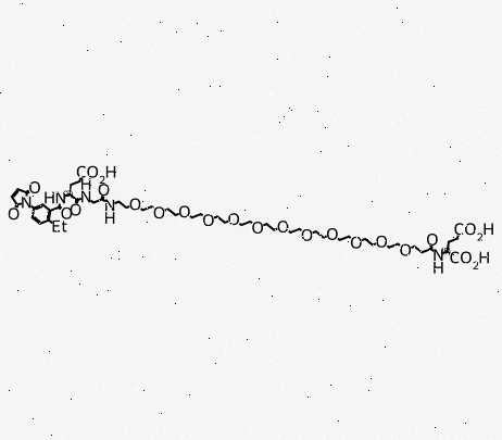 CCc1ccc(N2C(=O)C=CC2=O)cc1C(=O)N[C@@H](CCC(=O)O)C(=O)NCC(=O)NCCOCCOCCOCCOCCOCCOCCOCCOCCOCCOCCOCCOCCC(=O)N[C@@H](CCC(=O)O)C(=O)O